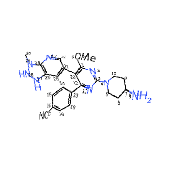 COc1nc(N2CCC(N)CC2)nc(-c2ccc(C#N)cc2)c1-c1cnc2c(c1)NNN2C